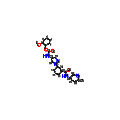 COc1ccccc1OC(=O)Nc1cnn(-c2cccc(C(=O)Nc3ccc(C)nc3)c2)c1